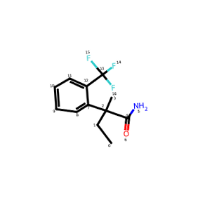 CCC(C)(C(N)=O)c1ccccc1C(F)(F)F